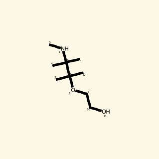 CNC(C)(C)C(C)(C)OCCO